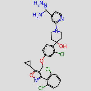 N/N=C(\N)c1ccnc(N2CCC(O)(c3ccc(OCc4c(C5=C(Cl)C=CCC=C5Cl)noc4C4CC4)cc3Cl)CC2)c1